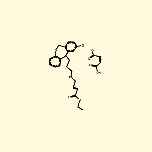 CCOC(=O)/C=C/CNCCCN1c2cc(Cl)ccc2COc2ccccc21.O=C(O)/C=C\C(=O)O